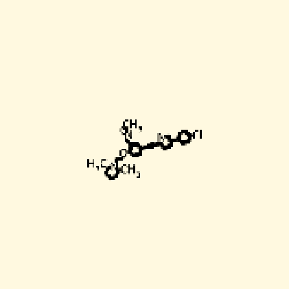 CON=Cc1cc(C#Cc2ccc(-c3ccc(Cl)cc3)cn2)ccc1OCCN1C(C)CCCC1C